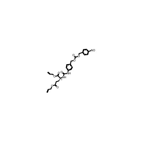 C=CCOC(=O)CC[C@H](NC(=O)Nc1ccc(COC(=O)OCc2ccc(N=O)cc2)cc1)C(=O)OCC=C